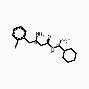 N[C@@H](CC(=O)N[C@@H](C(=O)O)C1CCCCC1)Cc1ccccc1F